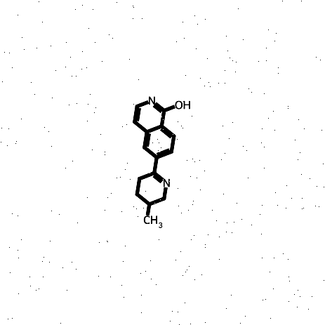 CC1CCC(c2ccc3c(O)nccc3c2)=NC1